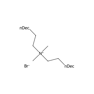 CCCCCCCCCCCC[N+](C)(C)CCCCCCCCCCCC.[Br-]